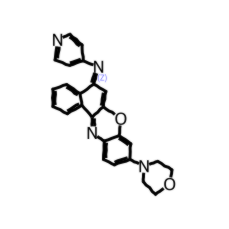 c1ccc2/c(=N\c3ccncc3)cc3oc4cc(N5CCOCC5)ccc4nc-3c2c1